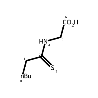 CCCCCC(=S)NCC(=O)O